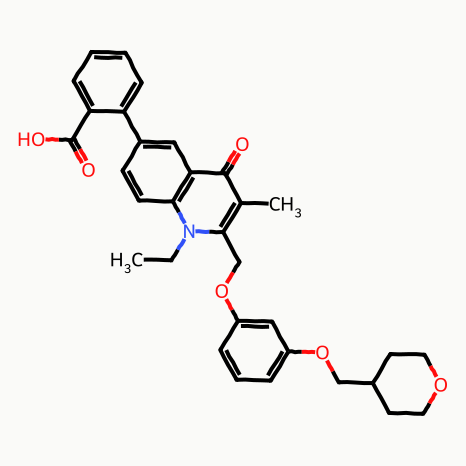 CCn1c(COc2cccc(OCC3CCOCC3)c2)c(C)c(=O)c2cc(-c3ccccc3C(=O)O)ccc21